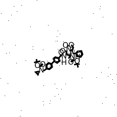 CC(C)(C)OC(=O)NC(C)(C)[C@H](NC(=O)c1ccc(-c2ccc(CN(C(=O)OC(C)(C)C)C3CC3)cc2)cc1)C(=O)N1C(=O)OC[C@H]1Cc1ccccc1